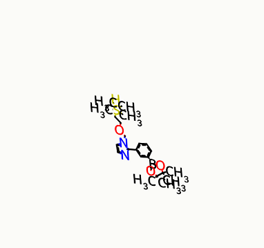 CC1(C)OB(c2cccc(-c3nccn3COCC[SH](C)(C)(C)C)c2)OC1(C)C